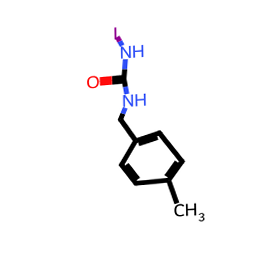 Cc1ccc(CNC(=O)NI)cc1